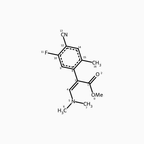 COC(=O)/C(=C\N(C)C)c1cc(F)c(C#N)cc1C